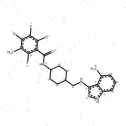 Cc1c(F)c(F)c(Cl)c(C(=O)NC2CCC(CNc3n[nH]c4cccc(C)c34)CC2)c1F